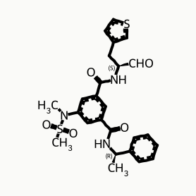 C[C@@H](NC(=O)c1cc(C(=O)N[C@H](C=O)Cc2ccsc2)cc(N(C)S(C)(=O)=O)c1)c1ccccc1